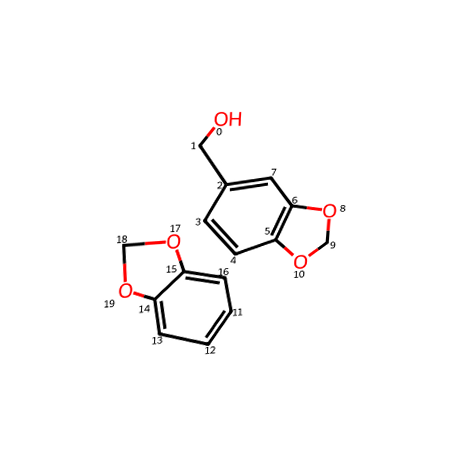 OCc1ccc2c(c1)OCO2.c1ccc2c(c1)OCO2